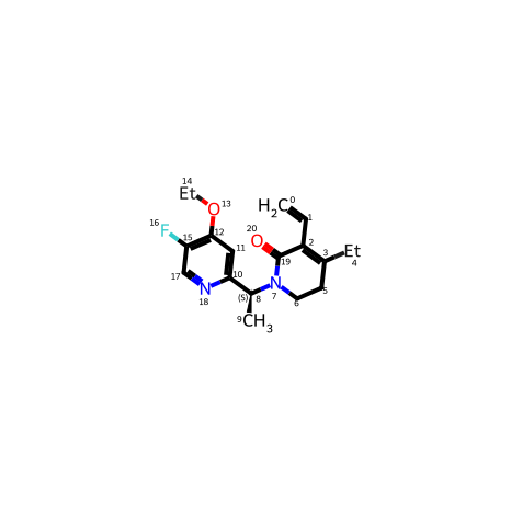 C=CC1=C(CC)CCN([C@@H](C)c2cc(OCC)c(F)cn2)C1=O